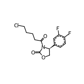 O=C(CCCCCl)N1C(=O)OC[C@@H]1c1ccc(F)c(F)c1